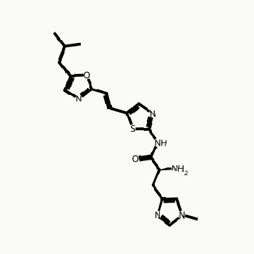 CC(C)Cc1cnc(/C=C/c2cnc(NC(=O)[C@@H](N)Cc3cn(C)cn3)s2)o1